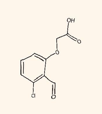 O=Cc1c(Cl)cccc1OCC(=O)O